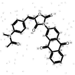 CC(=O)N(C)c1ccc(/C=C2/OC(=S)N(c3ccc4c(c3)C(=O)c3ccccc3C4=O)C2=O)cc1